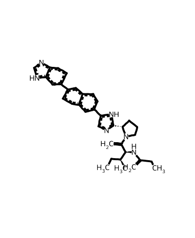 C=C(CC)N[C@H](C(=C)N1CCC[C@H]1c1ncc(-c2ccc3cc(-c4ccc5nc[nH]c5c4)ccc3c2)[nH]1)[C@@H](C)CC